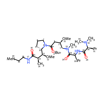 CC[C@H](C)[C@@H]([C@@H](CC(=O)N1CCC[C@H]1[C@@H](OC)[C@@H](C)C(=O)NCCNC)OC)N(C)C(=O)C(NC(=O)[C@H](C(C)C)N(C)C)C(C)C